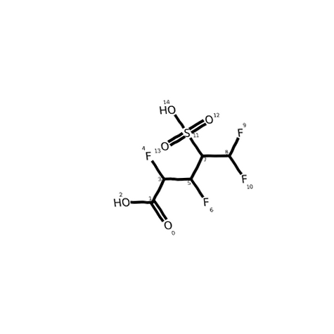 O=C(O)C(F)C(F)C(C(F)F)S(=O)(=O)O